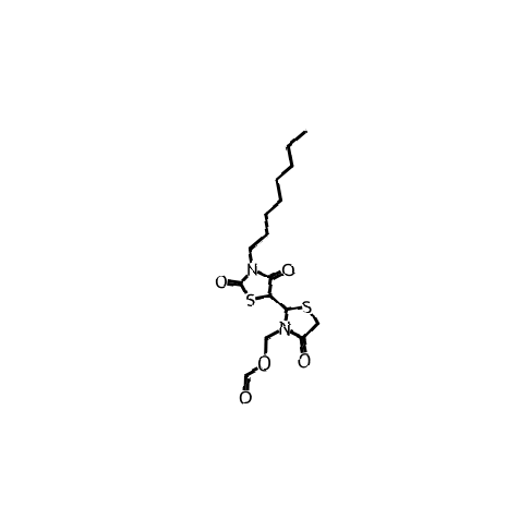 CCCCCCCCN1C(=O)SC(C2SCC(=O)N2COC=O)C1=O